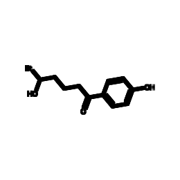 CCC(O)CCCC(=O)c1ccc(O)cc1